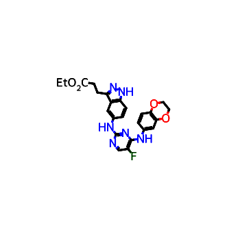 CCOC(=O)CCc1n[nH]c2ccc(Nc3ncc(F)c(Nc4ccc5c(c4)OCCO5)n3)cc12